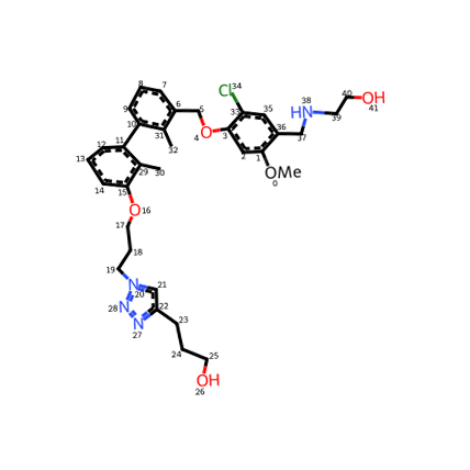 COc1cc(OCc2cccc(-c3cccc(OCCCn4cc(CCCO)nn4)c3C)c2C)c(Cl)cc1CNCCO